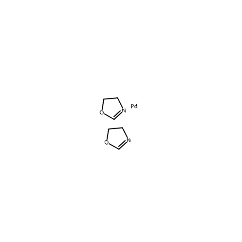 C1=NCCO1.C1=NCCO1.[Pd]